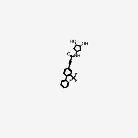 O=C(C#Cc1ccc(-c2ccccc2)c(C(F)(F)F)c1)NC1C[C@@H](O)[C@@H](O)C1